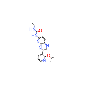 CCNC(=O)Nc1ccc2ncc(-c3cccnc3OC(C)C)nc2n1